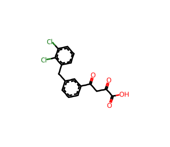 O=C(O)C(=O)CC(=O)c1cccc(Cc2cccc(Cl)c2Cl)c1